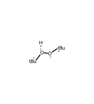 CC(C)(C)OOC(C)(C)C.[H]